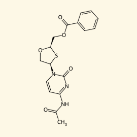 CC(=O)Nc1ccn([C@H]2CO[C@@H](COC(=O)c3ccccc3)S2)c(=O)n1